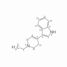 [CH2]CN1CC=C(c2c[nH]c3ccccc23)CC1